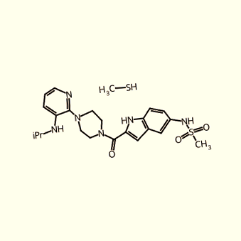 CC(C)Nc1cccnc1N1CCN(C(=O)c2cc3cc(NS(C)(=O)=O)ccc3[nH]2)CC1.CS